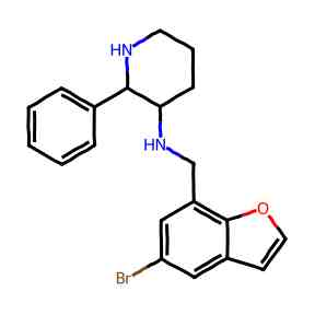 Brc1cc(CNC2CCCNC2c2ccccc2)c2occc2c1